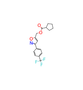 O=C(OCc1cc(-c2ccc(C(F)(F)F)cc2)no1)C1CCCC1